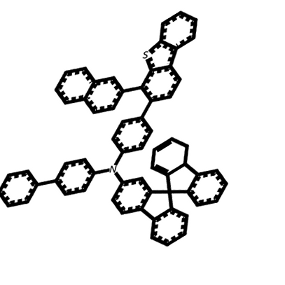 C1=CCC2C(=C1)C1(c3ccccc3-c3ccc(N(c4ccc(-c5ccccc5)cc4)c4ccc(-c5ccc6c(sc7ccccc76)c5-c5ccc6ccccc6c5)cc4)cc31)c1ccccc12